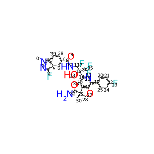 Cn1nc(F)c2cc(C(=O)NC[C@](O)(c3cc4c(c(-c5ccc(F)cc5)n3)OC[C@]4(C)C(N)=O)C(F)(F)F)ccc21